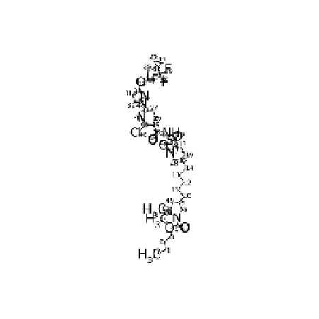 CCCCOC(=O)N1CC(CCCCCc2ccc(S(=O)(=O)NC(=O)c3ccc(-n4ccc(OCCC5(C(F)(F)F)CC5)n4)nc3Cl)nc2)CC1(C)C